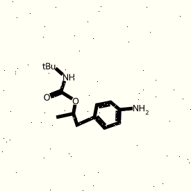 CC(Cc1ccc(N)cc1)OC(=O)NC(C)(C)C